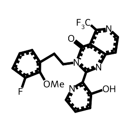 COc1c(F)cccc1CCn1c(-c2ncccc2O)nc2ccnc(C(F)(F)F)c2c1=O